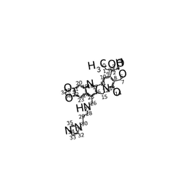 CC[C@@]1(O)C(=O)OCc2c1cc1n(c2=O)Cc2c-1nc1cc3c(cc1c2CNCCCn1ccnc1)OCO3